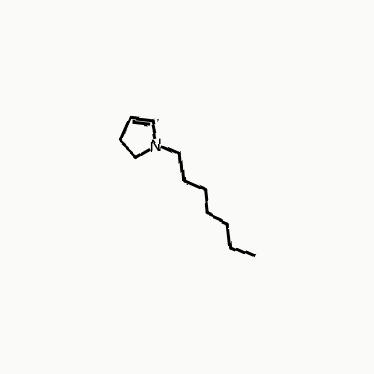 CCCCCCCN1[C]=CCC1